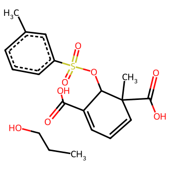 CCCO.Cc1cccc(S(=O)(=O)OC2C(C(=O)O)=CC=CC2(C)C(=O)O)c1